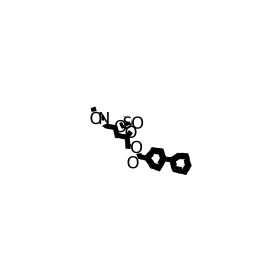 CON=CCCC(COC(=O)c1ccc(-c2ccccc2)cc1)OS(C)(=O)=O